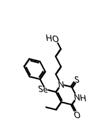 CCc1c([Se]c2ccccc2)n(CCCCO)c(=S)[nH]c1=O